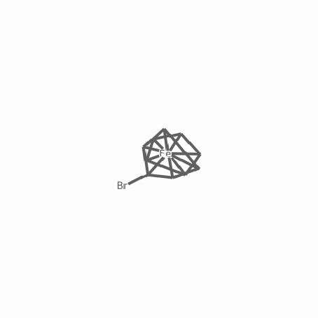 Br[C]12[CH]3[CH]4[CH]5[CH]1[Fe]45321678[CH]2[CH]1[CH]6[CH]7[CH]28